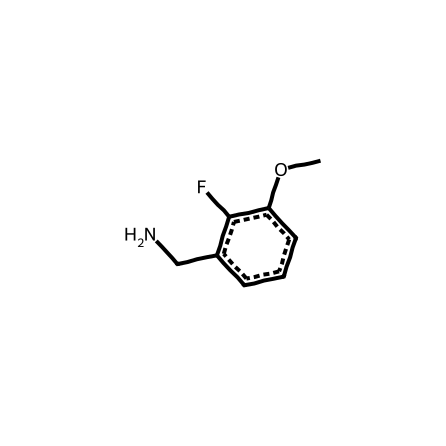 COc1cccc(CN)c1F